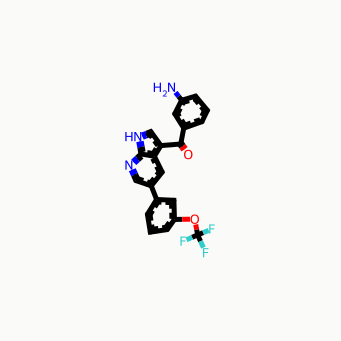 Nc1cccc(C(=O)c2c[nH]c3ncc(-c4cccc(OC(F)(F)F)c4)cc23)c1